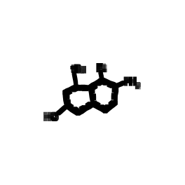 CCc1c(P)ccc2cc(O)cc(C(C)(C)C)c12